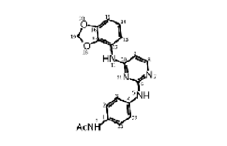 CC(=O)Nc1ccc(Nc2nccc(Nc3cccc4c3OCO4)n2)cc1